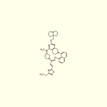 CCc1noc(/C=C/C(=O)N2CC[C@@H](N(C)c3nc(OCC45CCCN4CCC5)nc4c3CCN(c3cccc5cccc(Cl)c35)C4)C2)n1